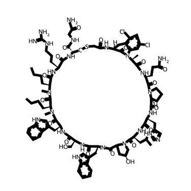 CCCC[C@H]1C(=O)N(C)[C@@H](CCCC)C(=O)N[C@@H](CCCNC(=N)N)C(=O)N[C@H](C(=O)NCC(N)=O)CSCC(=O)N[C@H]2Cc3c(Cl)cc(Cl)cc3N(C2=O)[C@@H](C)C(=O)N[C@@H](CCC(N)=O)C(=O)N2CCC[C@H]2C(=O)N[C@@H](Cc2cnc[nH]2)C(=O)N[C@@H](CC(C)C)C(=O)N2C[C@H](O)CC2C(=O)N[C@@H](Cc2c[nH]c3ccccc23)C(=O)N[C@@H](CO)C(=O)N[C@@H](Cc2c[nH]c3ccccc23)C(=O)N1C